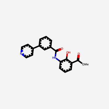 COC(=O)c1cccc(NC(=O)c2cccc(-c3ccncc3)c2)c1O